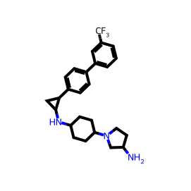 NC1CCN(C2CCC(NC3CC3c3ccc(-c4cccc(C(F)(F)F)c4)cc3)CC2)C1